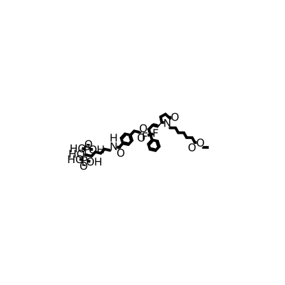 CCOC(=O)CCCCCCN1C(=O)CC[C@@H]1C=C[C@@H](OC(=O)Cc1ccc(C(=O)NCCCCCC(O)(P(=O)(O)O)P(=O)(O)O)cc1)C(F)(F)c1ccccc1